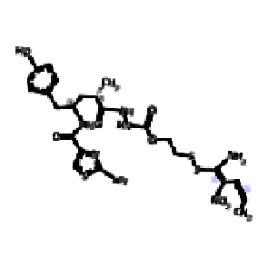 C/C=C\C(=C(/N)SSCCOC(=O)NNC(=O)[C@@H](C)C[C@H](Cc1ccc(O)cc1)NC(=O)c1csc(CCC)n1)[N+](=O)[O-]